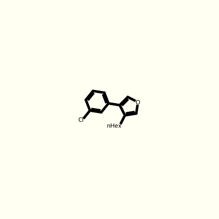 [CH2]CCCCCc1cocc1-c1cccc(Cl)c1